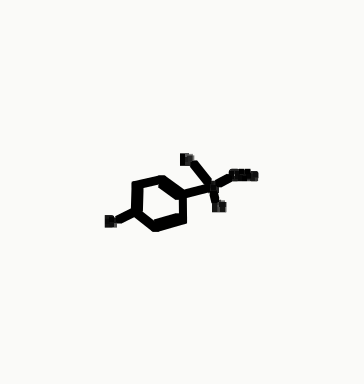 CC[Si](CC)(OC)c1ccc(Br)cc1